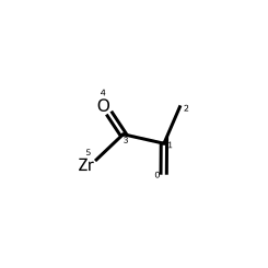 C=C(C)[C](=O)[Zr]